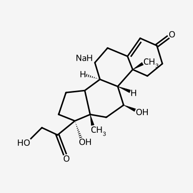 C[C@]12CCC(=O)C=C1CC[C@@H]1C3CC[C@](O)(C(=O)CO)[C@@]3(C)C[C@H](O)[C@H]12.[NaH]